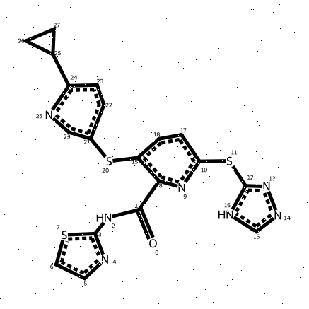 O=C(Nc1nccs1)c1nc(Sc2nnc[nH]2)ccc1Sc1ccc(C2CC2)nc1